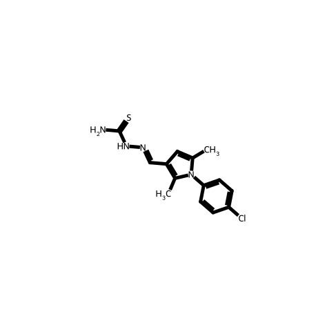 Cc1cc(C=NNC(N)=S)c(C)n1-c1ccc(Cl)cc1